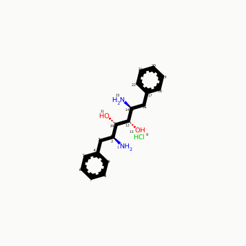 Cl.N[C@@H](Cc1ccccc1)[C@H](O)[C@@H](O)[C@@H](N)Cc1ccccc1